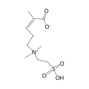 CC(=CCC[N+](C)(C)CCS(=O)(=O)O)C(=O)[O-]